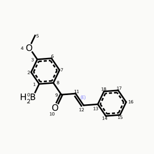 Bc1cc(OC)ccc1C(=O)/C=C/c1ccccc1